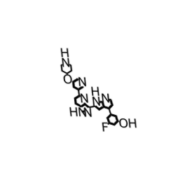 Oc1cc(F)cc(-c2ccnc3[nH]c(-c4n[nH]c5ccc(-c6cncc(OC7CCNCC7)c6)nc45)cc23)c1